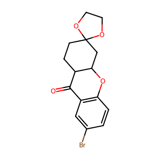 O=C1c2cc(Br)ccc2OC2CC3(CCC12)OCCO3